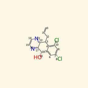 C=CCC(c1ccc(Cl)cc1Cl)c1nccnc1CO